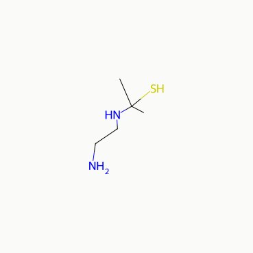 CC(C)(S)NCCN